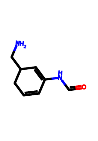 NCC1C=C(NC=O)C=CC1